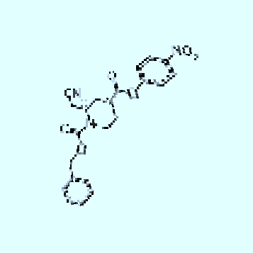 N#CC[C@H]1CN(C(=O)Oc2ccc([N+](=O)[O-])cc2)CCN1C(=O)OCc1ccccc1